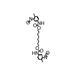 Cc1ccc(NC(=O)OCCCCCCCCOC(=O)Nc2ccc(C)c(N=C=O)c2)cc1N=C=O